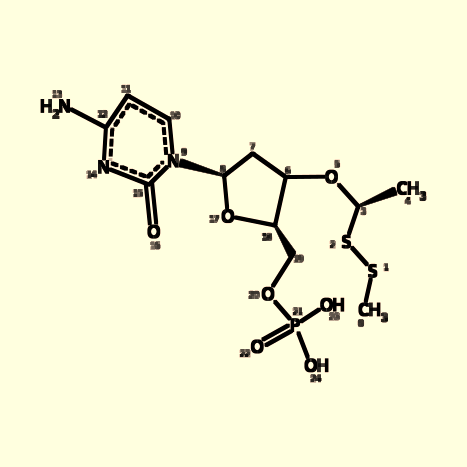 CSS[C@H](C)OC1C[C@H](n2ccc(N)nc2=O)O[C@@H]1COP(=O)(O)O